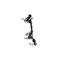 Cc1ncsc1-c1ccc(CNC(=O)[C@@H]2C[C@@H](O)CN2C(=O)[C@@H](NC(=O)C(F)(F)OCCCOCCCOc2cc(F)c([C@@H]3c4[nH]c5ccccc5c4C[C@@H](C)N3CC(C)(C)F)c(F)c2)C(C)(C)C)cc1